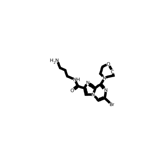 NCCCNC(=O)c1cn2cc(Br)nc(N3CCOCC3)c2n1